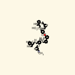 C/N=C/c1cncc(COc2cc(OCc3cccc(-c4cccc(COc5cc(OCc6cncc(C7=NC7)c6)c(CNC(Cc6c[nH]c7ccccc67)C(=O)O)cc5Cl)c4C)c3C)c(Cl)cc2CNC(Cc2c[nH]c3ccccc23)C(=O)O)c1